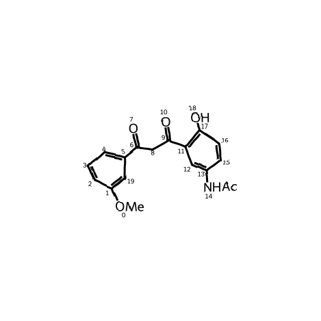 COc1cccc(C(=O)CC(=O)c2cc(NC(C)=O)ccc2O)c1